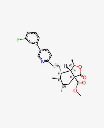 COC(=O)[C@@]12C[C@H](C)[C@@H](C)[C@H](/C=C/c3ccc(-c4cccc(F)c4)cn3)[C@@H]1[C@@H](C)OC2=O